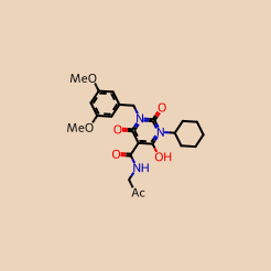 COc1cc(Cn2c(=O)c(C(=O)NCC(C)=O)c(O)n(C3CCCCC3)c2=O)cc(OC)c1